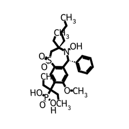 CCCC[C@]1(CC)CS(=O)(=O)c2cc(C(CC)(CC)P(=O)(O)O)c(OC)cc2[C@@H](c2ccccc2)N1O